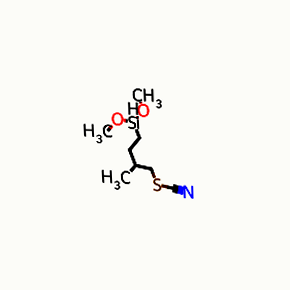 CO[SiH](CCC(C)CSC#N)OC